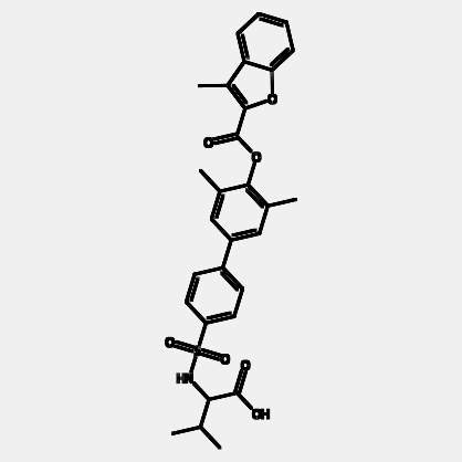 Cc1cc(-c2ccc(S(=O)(=O)NC(C(=O)O)C(C)C)cc2)cc(C)c1OC(=O)c1oc2ccccc2c1C